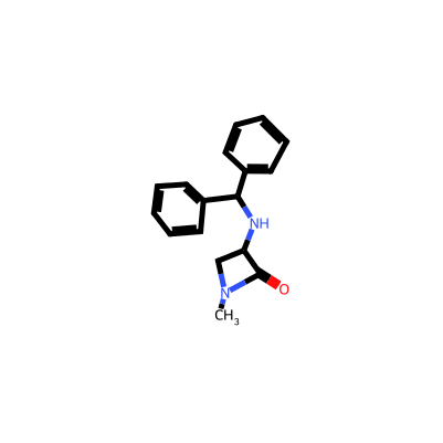 CN1CC(NC(c2ccccc2)c2ccccc2)C1=O